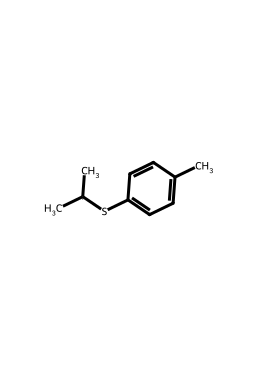 C[C](C)Sc1ccc(C)cc1